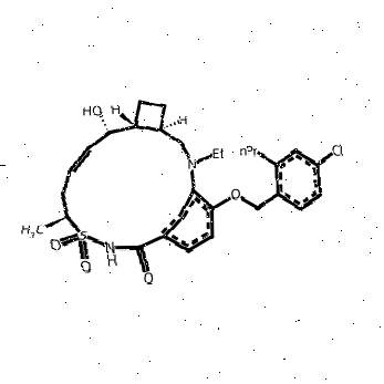 CCCc1cc(Cl)ccc1COc1ccc2cc1N(CC)C[C@@H]1CC[C@H]1[C@@H](O)/C=C\C[C@H](C)S(=O)(=O)NC2=O